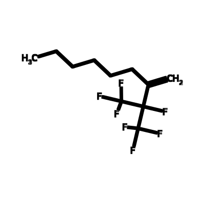 C=C(CCCCCC)C(F)(C(F)(F)F)C(F)(F)F